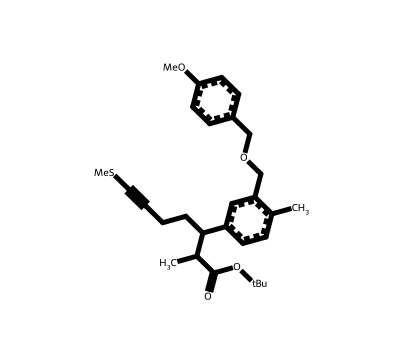 COc1ccc(COCc2cc(C(CCC#CSC)C(C)C(=O)OC(C)(C)C)ccc2C)cc1